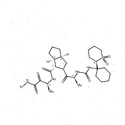 CCCC[C@H](NC(=O)[C@@H]1[C@H]2CCC[C@H]2CN1C(=O)[C@@H](NC(=O)NC1([C@H]2CCCCS2(=O)=O)CCCCC1)C(C)(C)C)C(=O)C(=O)NCC